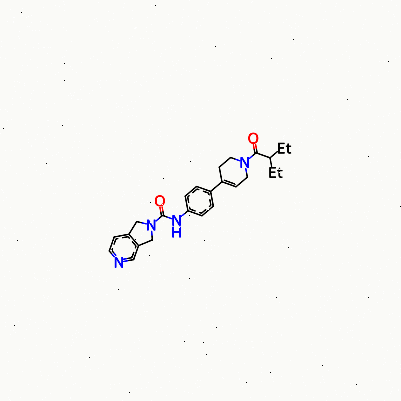 CCC(CC)C(=O)N1CC=C(c2ccc(NC(=O)N3Cc4ccncc4C3)cc2)CC1